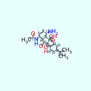 CC(=O)Nc1ccc(N)c2c1C(=O)C1(O)c3ccc(C(C)C)cc3OC21O